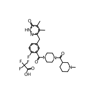 Cc1c(Cc2ccc(F)c(C(=O)N3CCN(C(=O)C4CCCN(C)C4)CC3)c2)n[nH]c(=O)c1C.O=C(O)C(F)(F)F